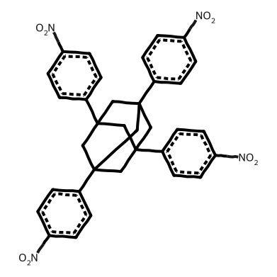 O=[N+]([O-])c1ccc(C23CC4(c5ccc([N+](=O)[O-])cc5)CC(c5ccc([N+](=O)[O-])cc5)(C2)CC(c2ccc([N+](=O)[O-])cc2)(C3)C4)cc1